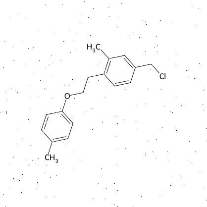 Cc1ccc(OCCc2ccc(CCl)cc2C)cc1